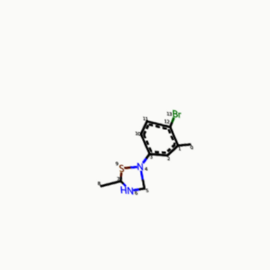 Cc1cc(N2CNC(C)S2)ccc1Br